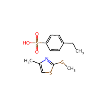 CCc1ccc(S(=O)(=O)O)cc1.CSc1nc(C)cs1